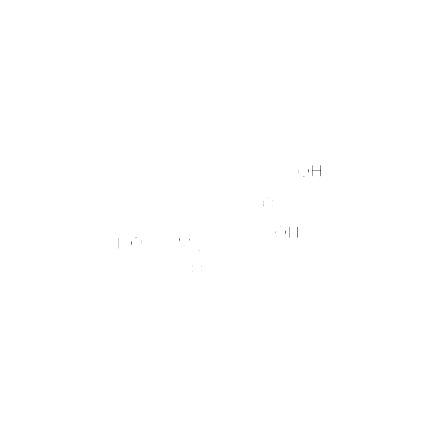 O=C(OCCO)c1ccc(C(O)OCCO)cc1